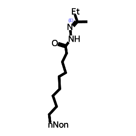 CCCCCCCCCCCCCCCCCC(=O)N/N=C(\C)CC